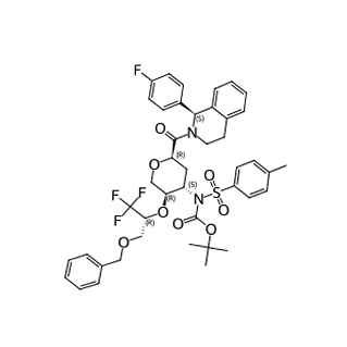 Cc1ccc(S(=O)(=O)N(C(=O)OC(C)(C)C)[C@H]2C[C@H](C(=O)N3CCc4ccccc4[C@@H]3c3ccc(F)cc3)OC[C@@H]2O[C@H](COCc2ccccc2)C(F)(F)F)cc1